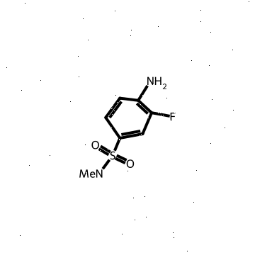 CNS(=O)(=O)c1ccc(N)c(F)c1